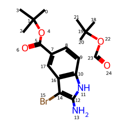 CC(C)(C)OC(=O)c1ccc2[nH]c(N)c(Br)c2c1.CC(C)(C)OC=O